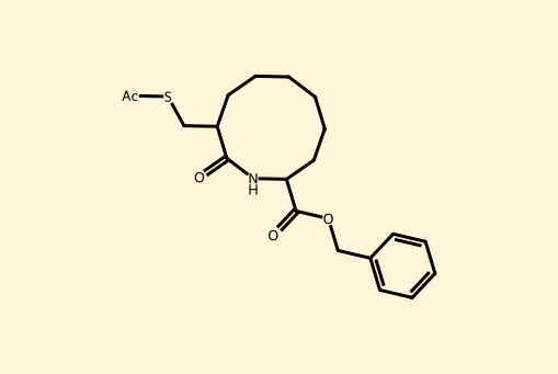 CC(=O)SCC1CCCCCCC(C(=O)OCc2ccccc2)NC1=O